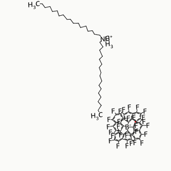 CCCCCCCCCCCCCCCCCC[NH+](C)CCCCCCCCCCCCCCCCCC.Fc1c(F)c(F)c2c([B-](c3c(F)c(F)c(F)c4c(F)c(F)c(F)c(F)c34)(c3c(F)c(F)c(F)c4c(F)c(F)c(F)c(F)c34)c3c(F)c(F)c(F)c4c(F)c(F)c(F)c(F)c34)c(F)c(F)c(F)c2c1F